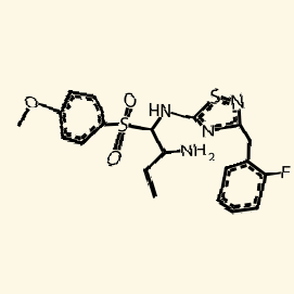 CCC(N)C(Nc1nc(Cc2ccccc2F)ns1)S(=O)(=O)c1ccc(OC)cc1